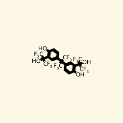 Oc1ccc(C(c2ccc(O)c(C(O)(C(F)(F)F)C(F)(F)F)c2)(C(F)(F)F)C(F)(F)F)cc1C(O)(C(F)(F)F)C(F)(F)F